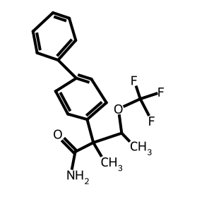 CC(OC(F)(F)F)C(C)(C(N)=O)c1ccc(-c2ccccc2)cc1